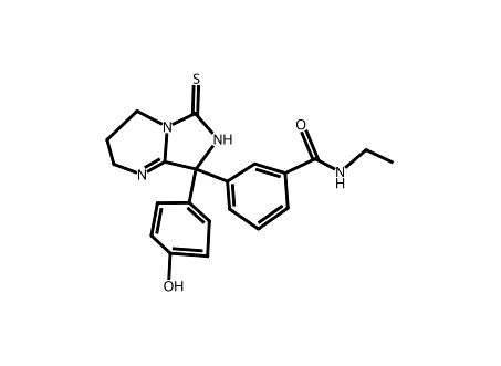 CCNC(=O)c1cccc(C2(c3ccc(O)cc3)NC(=S)N3CCCN=C32)c1